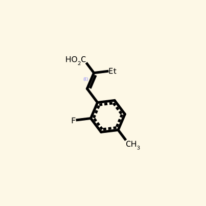 CC/C(=C\c1ccc(C)cc1F)C(=O)O